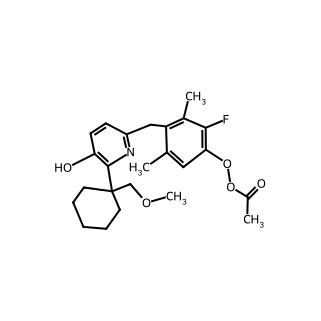 COCC1(c2nc(Cc3c(C)cc(OOC(C)=O)c(F)c3C)ccc2O)CCCCC1